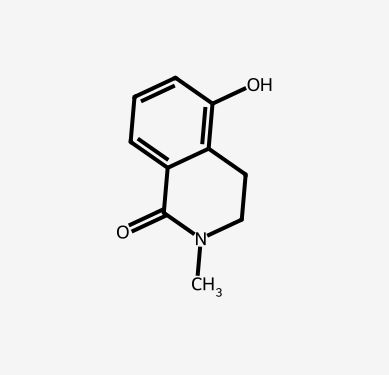 CN1CCc2c(O)cccc2C1=O